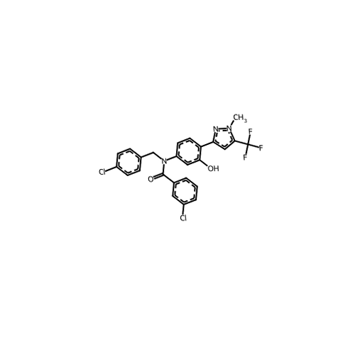 Cn1nc(-c2ccc(N(Cc3ccc(Cl)cc3)C(=O)c3cccc(Cl)c3)cc2O)cc1C(F)(F)F